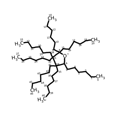 CCCCCCC1OC(CCCCCC)(CCCCCC)C(CCCCCC)(CCCCCC)C1(CCCCCC)CCCCCC